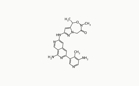 Cc1c(N)cncc1-c1cc2cc(Nc3cc4n(n3)CC(=O)N(C)OC4C)ncc2c(N)n1